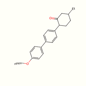 CCCCCCOc1ccc(-c2ccc(C3CCC(CC)CC3=O)cc2)cc1